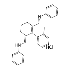 Cc1ccccc1C1=C(/C=N/c2ccccc2)CCC/C1=C\Nc1ccccc1.Cl